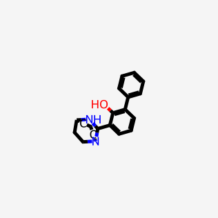 Oc1c(-c2ccccc2)cccc1C1NC2CCCN1CC2